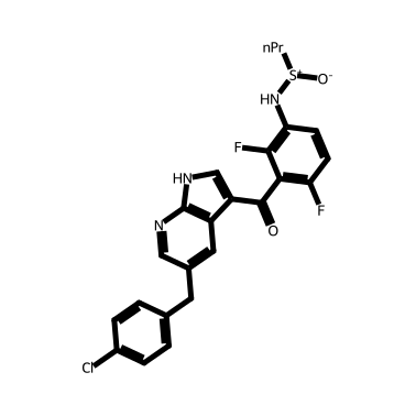 CCC[S+]([O-])Nc1ccc(F)c(C(=O)c2c[nH]c3ncc(Cc4ccc(Cl)cc4)cc23)c1F